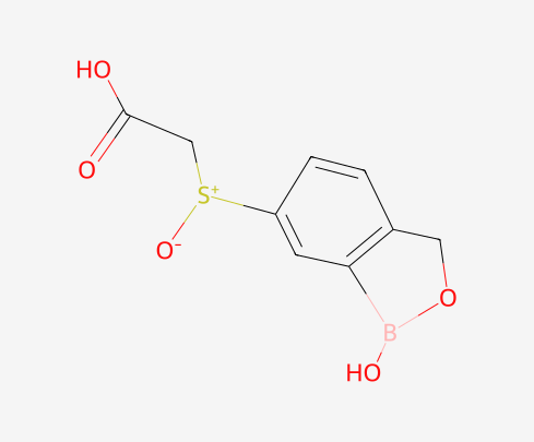 O=C(O)C[S+]([O-])c1ccc2c(c1)B(O)OC2